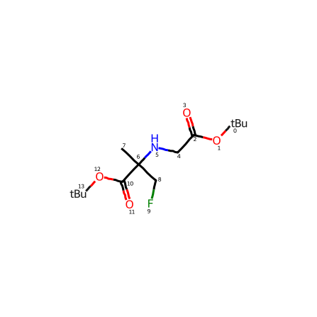 CC(C)(C)OC(=O)CNC(C)(CF)C(=O)OC(C)(C)C